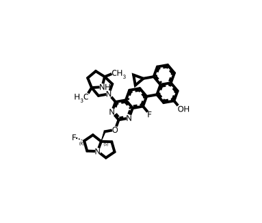 CC12CCC(C)(CN(c3nc(OC[C@@]45CCCN4C[C@H](F)C5)nc4c(F)c(-c5cc(O)cc6cccc(C7CC7)c56)ccc34)C1)N2